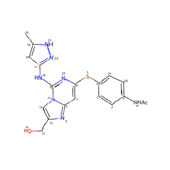 CC(=O)Nc1ccc(Sc2cc3nc(CO)cn3c(Nc3cc(C)[nH]n3)n2)cc1